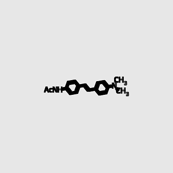 CC(=O)Nc1ccc(C=Cc2ccc(N(C)C)cc2)cc1